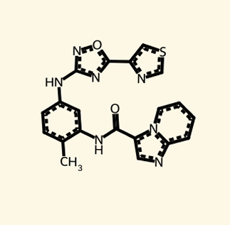 Cc1ccc(Nc2noc(-c3cscn3)n2)cc1NC(=O)c1cnc2ccccn12